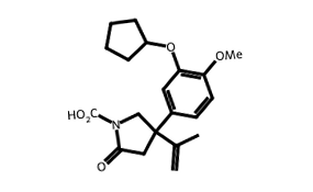 C=C(C)C1(c2ccc(OC)c(OC3CCCC3)c2)CC(=O)N(C(=O)O)C1